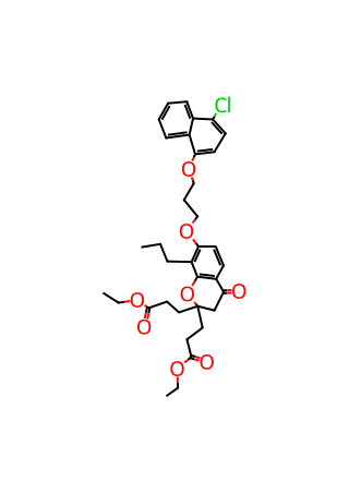 CCCc1c(OCCCOc2ccc(Cl)c3ccccc23)ccc2c1OC(CCC(=O)OCC)(CCC(=O)OCC)CC2=O